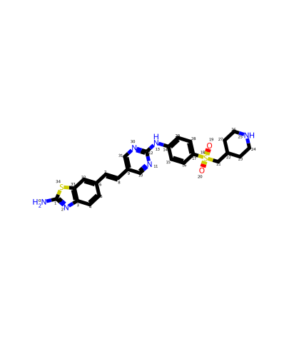 Nc1nc2ccc(/C=C/c3cnc(Nc4ccc(S(=O)(=O)CC5CCNCC5)cc4)nc3)cc2s1